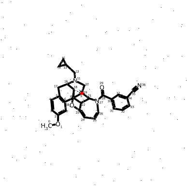 COc1ccc2c(c1)C13CCN(CC4CC4)C(C2)[C@@]12CCC1C3C(=CC=CN1C(=O)c1cccc(C#N)c1)O2